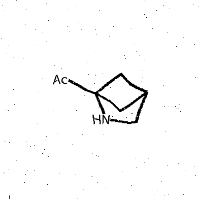 CC(=O)C12CC(CN1)C2